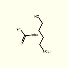 CCCCC(=O)C(C)C.CCCCCCCCCCCCO